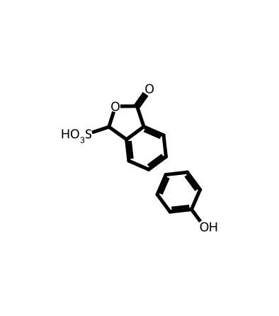 O=C1OC(S(=O)(=O)O)c2ccccc21.Oc1ccccc1